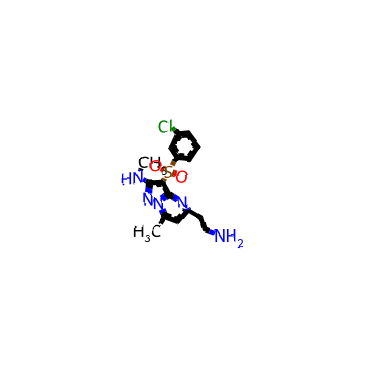 CNc1nn2c(C)cc(CCN)nc2c1S(=O)(=O)c1cccc(Cl)c1